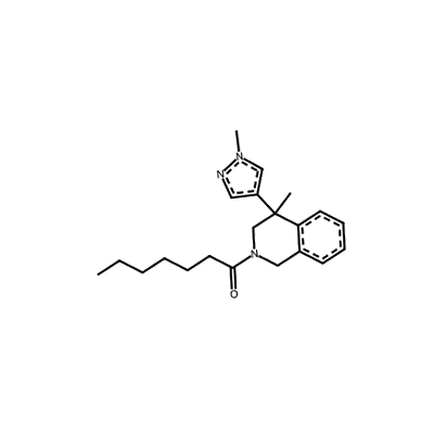 CCCCCCC(=O)N1Cc2ccccc2C(C)(c2cnn(C)c2)C1